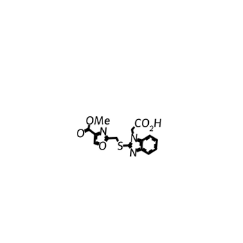 COC(=O)c1coc(CSc2nc3ccccc3n2CC(=O)O)n1